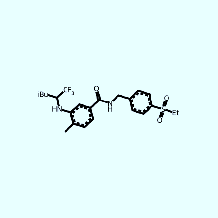 CCC(C)C(Nc1cc(C(=O)NCc2ccc(S(=O)(=O)CC)cc2)ccc1C)C(F)(F)F